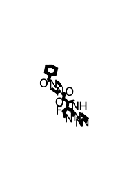 O=C(C(=O)N1CCN(C(=O)c2ccccc2)CC1)C1CNc2c(-n3ccnn3)ncc(F)c21